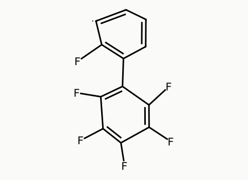 Fc1[c]cccc1-c1c(F)c(F)c(F)c(F)c1F